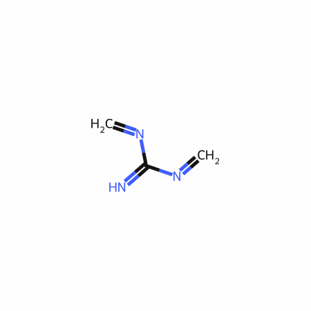 C=NC(=N)N=C